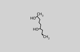 C=CCC(O)CCCC(C)O